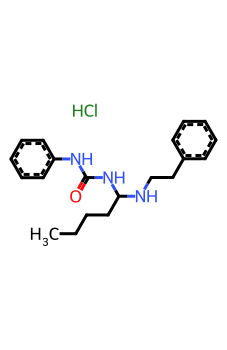 CCCCC(NCCc1ccccc1)NC(=O)Nc1ccccc1.Cl